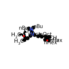 C=C/C=C\CCCC1(CCC/C=C\C=C)c2cc(C)ccc2-c2ccc(-c3ccc(N(c4ccc(-c5ccc6c(c5)C(CCCCCCCC)(CCCCCCCC)c5cc(-c7ccc8c(c7)C(c7cccc(CCCCCC)c7)(c7cccc(CCCCCC)c7)c7cc(C)ccc7-8)ccc5-6)cc4)c4ccc(N(c5ccc(CCCC)cc5)c5ccc(CCCC)cc5)cc4)cc3)cc21